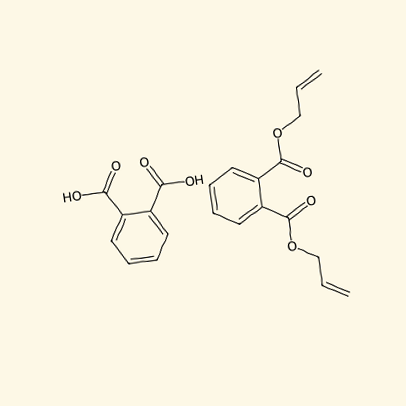 C=CCOC(=O)c1ccccc1C(=O)OCC=C.O=C(O)c1ccccc1C(=O)O